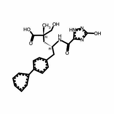 C[C@@](CO)(C[C@@H](Cc1ccc(-c2ccccc2)cc1)NC(=O)c1nc(O)n[nH]1)C(=O)O